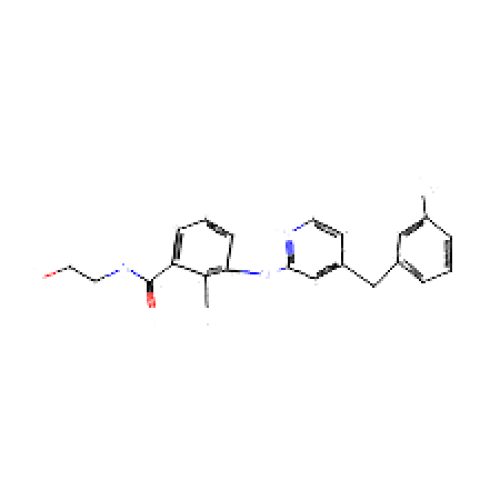 COc1cccc(Cc2ccnc(Nc3cccc(C(=O)NCCO)c3C)c2)c1